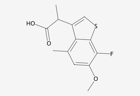 COc1cc(C)c2c(C(C)C(=O)O)csc2c1F